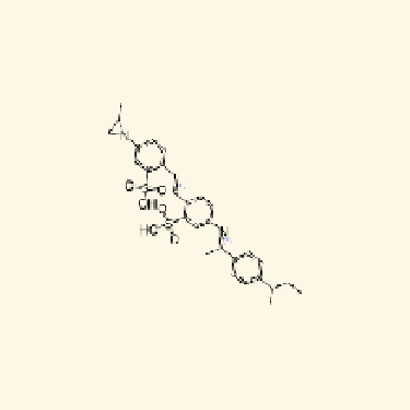 CCC(C)c1ccc(/C(C)=N/c2ccc(/C=C/c3ccc(N4CC4C)cc3S(=O)(=O)O)c(S(=O)(=O)O)c2)cc1